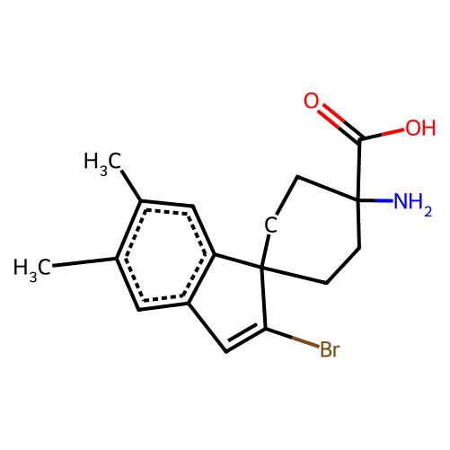 Cc1cc2c(cc1C)C1(CCC(N)(C(=O)O)CC1)C(Br)=C2